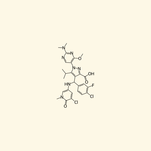 COc1nc(N(C)C)ncc1-n1nc(C(=O)O)c(C(Nc2cc(Cl)c(=O)n(C)c2)c2ccc(Cl)c(F)c2)c1C(C)C